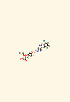 CCO[C@@H](Cc1ccc(OCCN[C@H]2C3CN(Cc4cc(F)c(F)cc4F)C[C@@H]32)cc1)C(=O)O